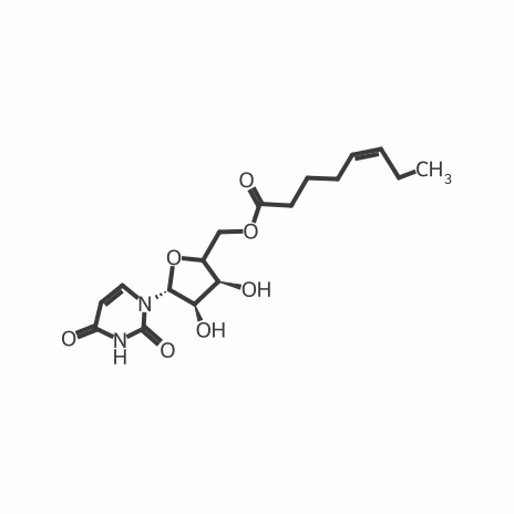 CC/C=C\CCCC(=O)OCC1O[C@@H](n2ccc(=O)[nH]c2=O)[C@H](O)[C@@H]1O